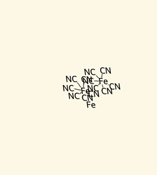 N#[C][Fe]([C]#N)([C]#N)([C]#N)([C]#N)[C]#N.N#[C][Fe]([C]#N)([C]#N)([C]#N)([C]#N)[C]#N.[Fe]